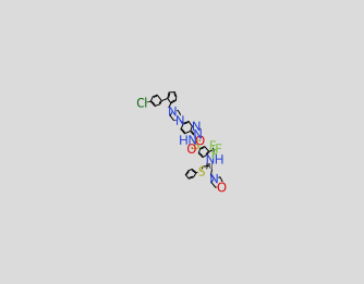 O=S(=O)(Nc1ncnc2cc(N3CCN(Cc4ccccc4-c4ccc(Cl)cc4)CC3)ccc12)c1ccc(N[C@H](CCN2CCOCC2)CSc2ccccc2)c(C(F)(F)F)c1